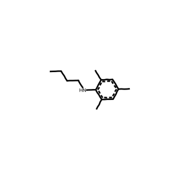 CCCCNc1c(C)cc(C)cc1C